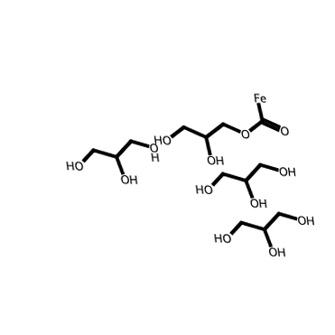 O=[C]([Fe])OCC(O)CO.OCC(O)CO.OCC(O)CO.OCC(O)CO